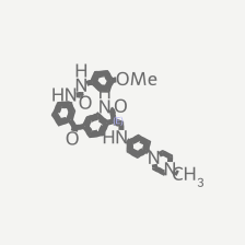 COc1ccc(NC(=O)Nc2cccc(C(=O)c3ccc4c(c3)NC(=O)/C4=C/Nc3ccc(N4CCN(C)CC4)cc3)c2)cc1